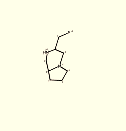 FCC1CN2CCCC2CN1